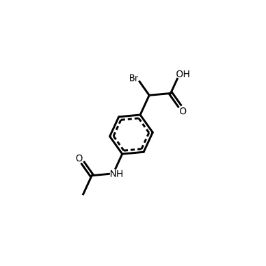 CC(=O)Nc1ccc(C(Br)C(=O)O)cc1